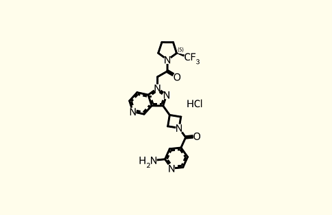 Cl.Nc1cc(C(=O)N2CC(c3nn(CC(=O)N4CCC[C@H]4C(F)(F)F)c4ccncc34)C2)ccn1